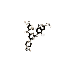 CC1=CC(Nc2cc(N3CCN(C)CC3)nc(Oc3ccc4[nH]c(C)cc4c3Cl)n2)NO1